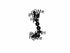 COC(=O)N[C@H](C(=O)N1C2CC2C[C@H]1c1nc(-c2ccc(-c3ccc(-c4c[nH]c([C@@H]5CC[C@@H](C)N5C(=O)[C@@H](NC(=O)OC)C(C)C)n4)cc3)cc2)c(F)[nH]1)C(C)C